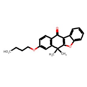 CC1(C)c2cc(OCCCC(=O)O)ccc2C(=O)c2c1oc1ccccc21